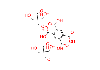 O=C(O)c1cc(C(=O)O)c(C(=O)O)cc1C(=O)O.OCC(CO)(CO)CO.OCC(CO)(CO)CO